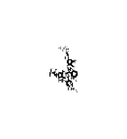 COCCOc1cc(F)c(Cn2nc(-c3nc4c(c(Nc5cc(C)ncc5C)n3)CN(CC(F)(F)F)C4)c3ccccc32)c(F)c1